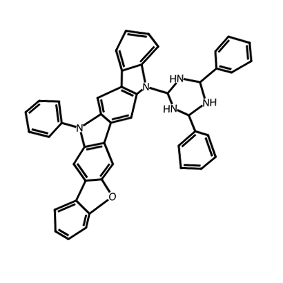 c1ccc(C2NC(c3ccccc3)NC(n3c4ccccc4c4cc5c(cc43)c3cc4oc6ccccc6c4cc3n5-c3ccccc3)N2)cc1